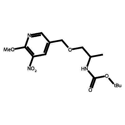 COc1ncc(COCC(C)NC(=O)OC(C)(C)C)cc1[N+](=O)[O-]